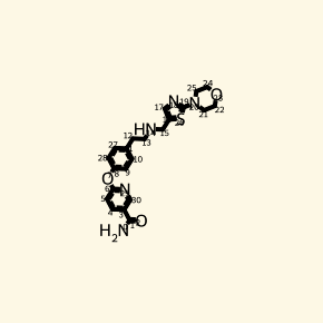 NC(=O)c1ccc(Oc2ccc(CCNCc3cnc(N4CCOCC4)s3)cc2)nc1